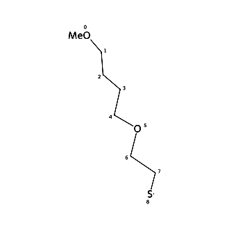 COCCCCOCC[S]